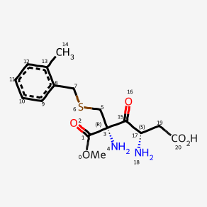 COC(=O)[C@@](N)(CSCc1ccccc1C)C(=O)[C@@H](N)CC(=O)O